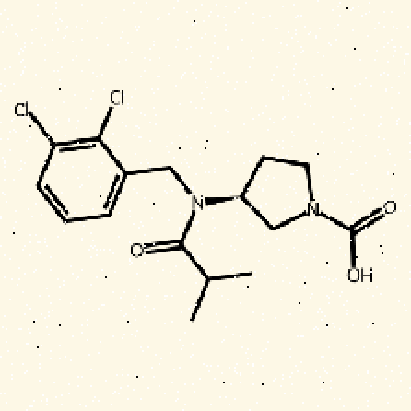 CC(C)C(=O)N(Cc1cccc(Cl)c1Cl)[C@H]1CCN(C(=O)O)C1